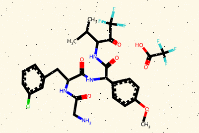 COc1ccc(C(NC(=O)C(Cc2cccc(Cl)c2)NC(=O)CN)C(=O)NC(C(=O)C(F)(F)F)C(C)C)cc1.O=C(O)C(F)(F)F